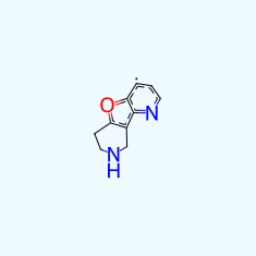 [c]1ccnc2c3c(oc12)CCNC3